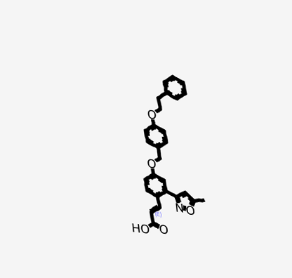 Cc1cc(-c2cc(OCc3ccc(OCCc4ccccc4)cc3)ccc2/C=C/C(=O)O)no1